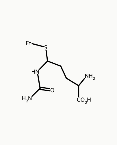 CCSC(CCC(N)C(=O)O)NC(N)=O